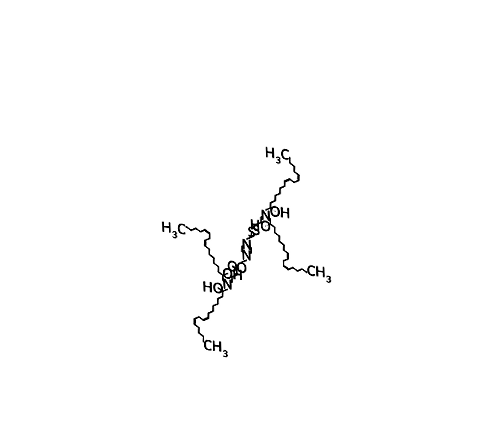 CCCCC/C=C\C/C=C\CCCCCC[C@@H](O)CN(CCCC(=O)OCCN1CCN(CCSSCCCN(C[C@@H](O)CCCCCC/C=C\C/C=C\CCCCC)C[C@@H](O)CCCCCC/C=C\C/C=C\CCCCC)CC1)C[C@H](O)CCCCCC/C=C\C/C=C\CCCCC